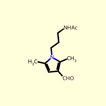 CC(=O)NCCCn1c(C)cc(C=O)c1C